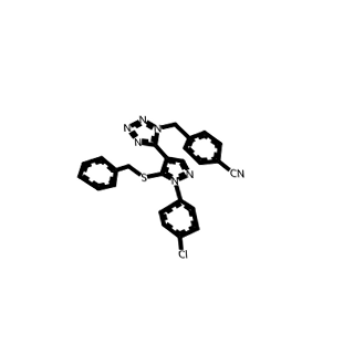 N#Cc1ccc(Cn2nnnc2-c2cnn(-c3ccc(Cl)cc3)c2SCc2ccccc2)cc1